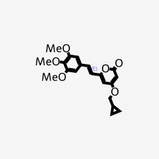 COc1cc(/C=C/c2cc(OCC3CC3)cc(=O)o2)cc(OC)c1OC